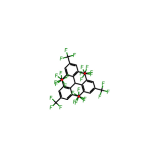 FC(F)(F)c1cc(C(F)(F)F)c(C(c2c(C(F)(F)F)cc(C(F)(F)F)cc2C(F)(F)F)c2c(C(F)(F)F)cc(C(F)(F)F)cc2C(F)(F)F)c(C(F)(F)F)c1